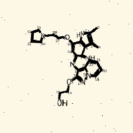 Cc1[nH]c2c(c1C)C(=N)/C(=N\c1c(OCCO)nn3ccccc13)C=C2OCCN1CCCC1